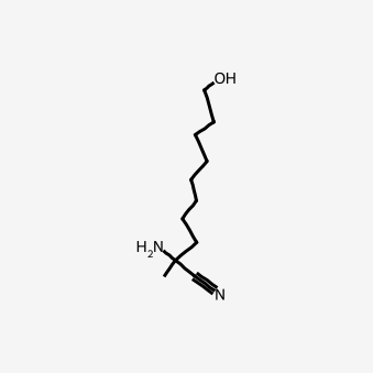 CC(N)(C#N)CCCCCCCCO